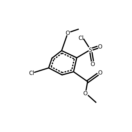 COC(=O)c1cc(Cl)cc(OC)c1S(=O)(=O)Cl